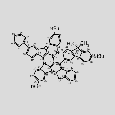 CC(C)(C)c1ccc(N2B3c4oc5cc(-c6ccccc6)ccc5c4-n4c5ccc(C(C)(C)C)cc5c5c6oc7ccccc7c6c(c3c54)-c3cc4c(cc32)C(C)(C)c2cc(C(C)(C)C)ccc2-4)cc1